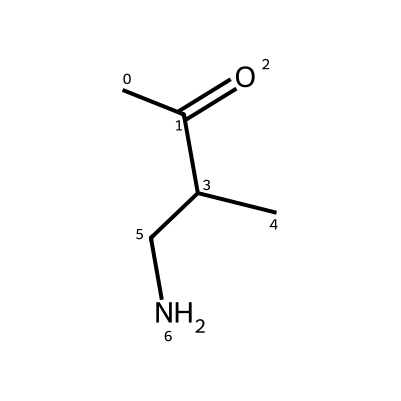 CC(=O)C(C)CN